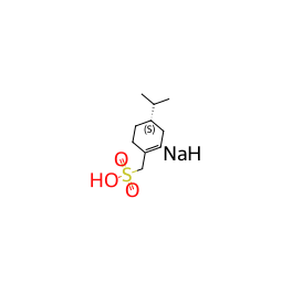 CC(C)[C@@H]1CC=C(CS(=O)(=O)O)CC1.[NaH]